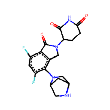 O=C1CCC(N2Cc3c(c(F)cc(F)c3N3CC4CC3CN4)C2=O)C(=O)N1